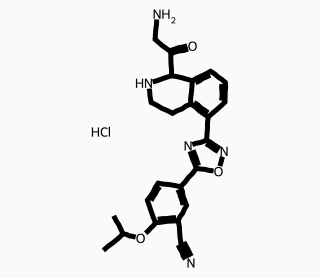 CC(C)Oc1ccc(-c2nc(-c3cccc4c3CCNC4C(=O)CN)no2)cc1C#N.Cl